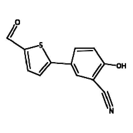 N#Cc1cc(-c2ccc(C=O)s2)ccc1O